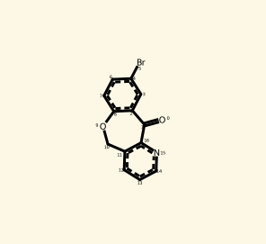 O=C1c2cc(Br)ccc2OCc2cccnc21